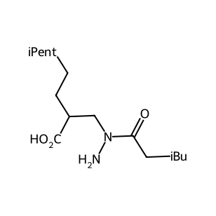 CCCC(C)CCC(CN(N)C(=O)CC(C)CC)C(=O)O